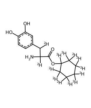 [2H]C(c1ccc(O)c(O)c1)C([2H])(N)C(=O)OC1([2H])C([2H])([2H])C([2H])([2H])C([2H])([2H])C([2H])([2H])C1([2H])[2H]